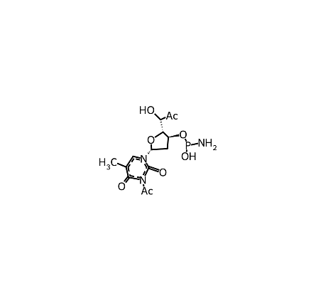 CC(=O)C(O)[C@H]1O[C@@H](n2cc(C)c(=O)n(C(C)=O)c2=O)C[C@@H]1OP(N)O